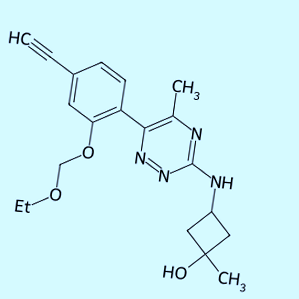 C#Cc1ccc(-c2nnc(NC3CC(C)(O)C3)nc2C)c(OCOCC)c1